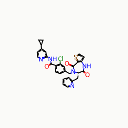 O=C(Nc1cc(C2CC2)ccn1)c1ccc(CN2C(=O)c3sccc3NC(=O)[C@H]2Cc2ccccn2)cc1Cl